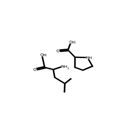 CC(C)CC(N)C(=O)O.O=C(O)C1CCCN1